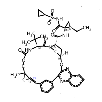 CC[C@@H]1C[C@]1(NC(=O)[C@@H]1C[C@@H]2CN1C(=O)[C@H](C(C)(C)C)NC(=O)OCC(C)(C)/C=C/c1cccc(c1)-c1nc3ccccc3nc1O2)C(=O)NS(=O)(=O)C1CC1